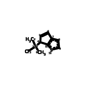 C[Si](C)(Cl)C1C=Cc2ccsc21